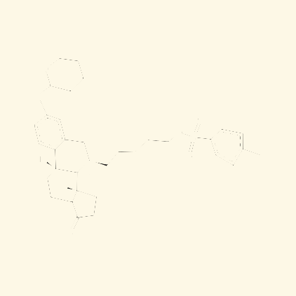 Cc1ccc(S(=O)(=O)OCCCCC[C@@H]2Cc3cc(OC4CCCCO4)ccc3[C@H]3CC[C@]4(C)C(=O)CC[C@H]4[C@H]23)cc1